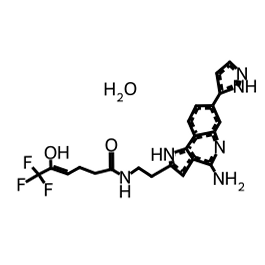 Nc1nc2cc(-c3ccn[nH]3)ccc2c2[nH]c(CCNC(=O)CCC=C(O)C(F)(F)F)cc12.O